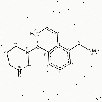 C/C=C\c1c(CNC)cccc1SN1CCCNC1